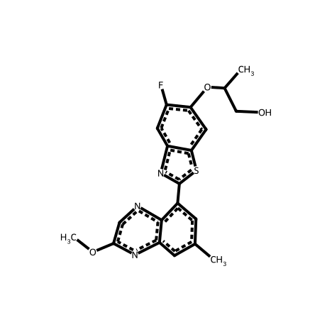 COc1cnc2c(-c3nc4cc(F)c(OC(C)CO)cc4s3)cc(C)cc2n1